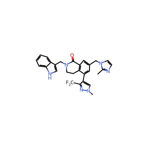 Cc1nccn1Cc1cc2c(c(-c3cn(C)nc3C(F)(F)F)c1)CCN(Cc1c[nH]c3ccccc13)C2=O